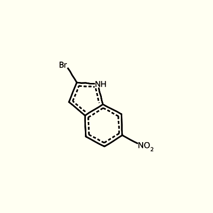 O=[N+]([O-])c1ccc2cc(Br)[nH]c2c1